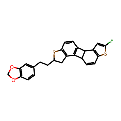 Fc1cc2c(s1)C=CC1c3c(ccc4c3CC(CCc3ccc5c(c3)OCO5)S4)C21